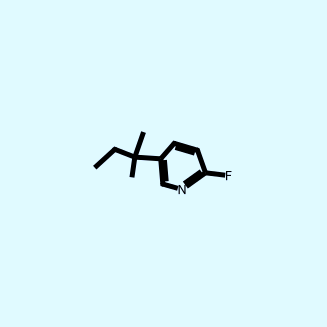 CCC(C)(C)c1ccc(F)nc1